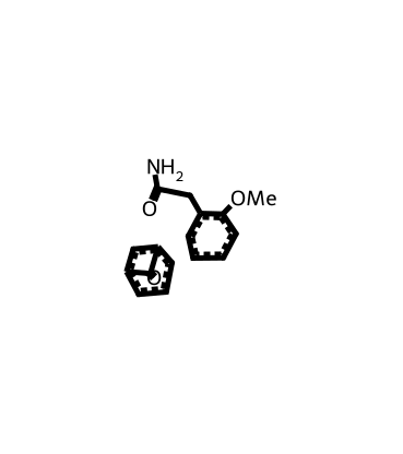 COc1ccccc1CC(N)=O.O=C1c2cccc1c2